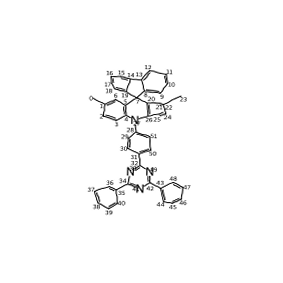 Cc1ccc2c(c1)C1(c3ccccc3-c3ccccc31)c1cc(C)ccc1N2c1ccc(-c2nc(-c3ccccc3)nc(-c3ccccc3)n2)cc1